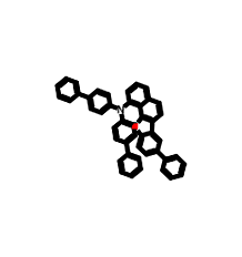 c1ccc(-c2ccc(N(c3ccc(-c4ccccc4)cc3)c3cccc4ccc5c6cc(-c7ccccc7)ccc6sc5c34)cc2)cc1